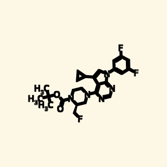 CC(C)(C)OC(=O)N1CCN(c2ncnc3c2c(C2CC2)cn3-c2cc(F)cc(F)c2)C[C@H]1CF